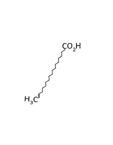 CC=CCCCCCCCCCCCCCCCC(=O)O